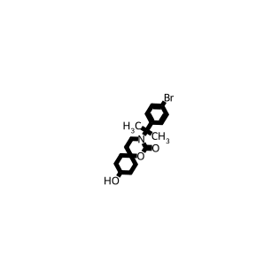 CC(C)(c1ccc(Br)cc1)N1CCC2(CCC(O)CC2)OC1=O